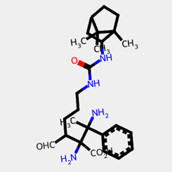 CC(N)(c1ccccc1)C(N)(C(=O)O)C(C=O)CCCNC(=O)NC1CC2CCC1(C)C2(C)C